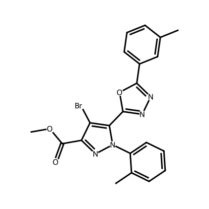 COC(=O)c1nn(-c2ccccc2C)c(-c2nnc(-c3cccc(C)c3)o2)c1Br